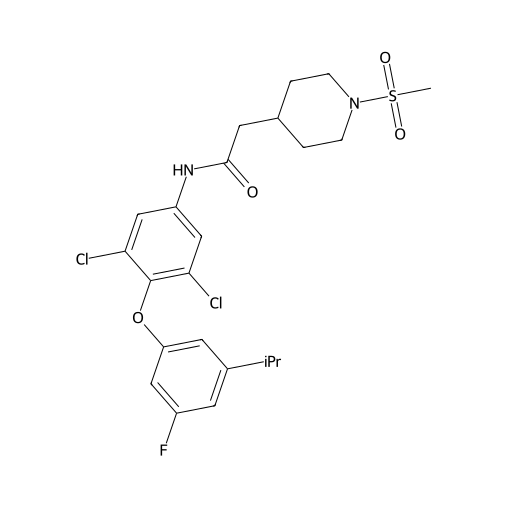 CC(C)c1cc(F)cc(Oc2c(Cl)cc(NC(=O)CC3CCN(S(C)(=O)=O)CC3)cc2Cl)c1